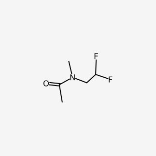 CC(=O)N(C)CC(F)F